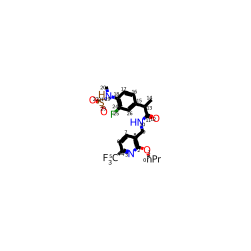 CCCOc1nc(C(F)(F)F)ccc1CNC(=O)C(C)c1ccc(N(C)[SH](=O)=O)c(F)c1